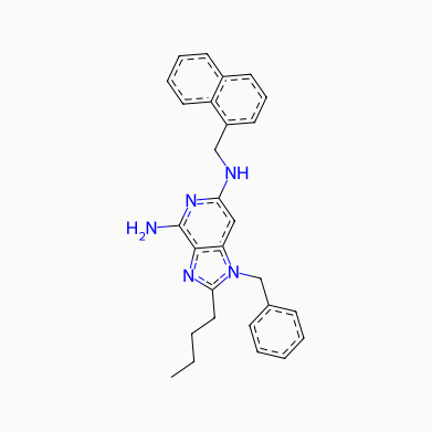 CCCCc1nc2c(N)nc(NCc3cccc4ccccc34)cc2n1Cc1ccccc1